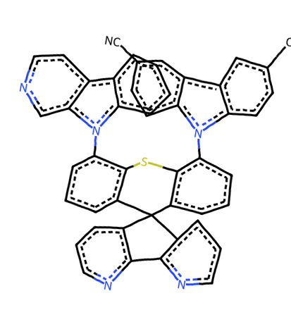 N#Cc1ccc2c(c1)c1cc(C#N)ccc1n2-c1cccc2c1Sc1c(-n3c4ccccc4c4ccncc43)cccc1C21c2cccnc2-c2ncccc21